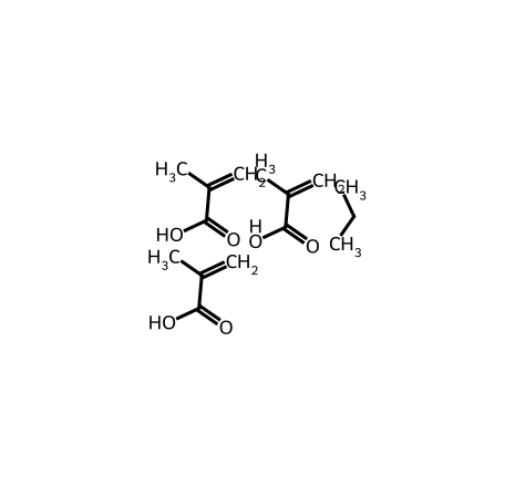 C=C(C)C(=O)O.C=C(C)C(=O)O.C=C(C)C(=O)O.CCC